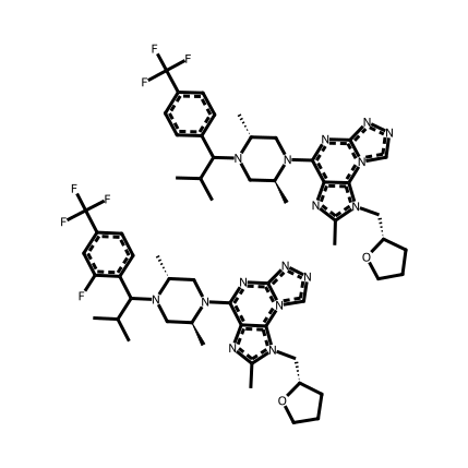 Cc1nc2c(N3C[C@@H](C)N(C(c4ccc(C(F)(F)F)cc4)C(C)C)C[C@@H]3C)nc3nncn3c2n1C[C@@H]1CCCO1.Cc1nc2c(N3C[C@@H](C)N(C(c4ccc(C(F)(F)F)cc4F)C(C)C)C[C@@H]3C)nc3nncn3c2n1C[C@@H]1CCCO1